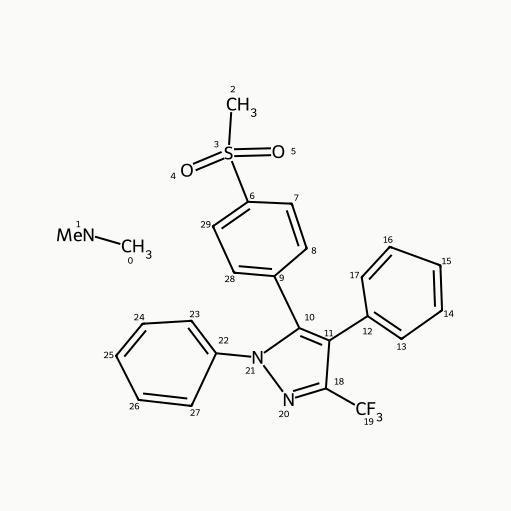 CNC.CS(=O)(=O)c1ccc(-c2c(-c3ccccc3)c(C(F)(F)F)nn2-c2ccccc2)cc1